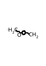 [CH2]CCC(=O)c1ccc(CC=C)cc1